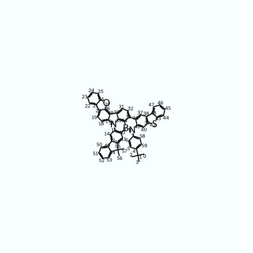 CC(C)(C)c1ccc(N2B3c4cc5c(cc4-n4c6ccc7c8ccccc8oc7c6c6ccc(c3c64)-c3cc4c(cc32)sc2ccccc24)-c2ccccc2C5(C)C)cc1